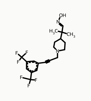 CC(C)(C=NO)C1CCN(CC#Cc2cc(C(F)(F)F)cc(C(F)(F)F)c2)CC1